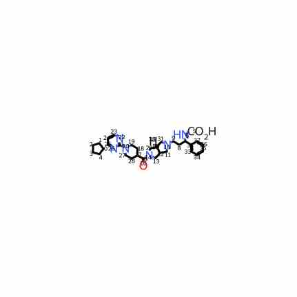 C1CCCC1.O=C(O)NC(CCN1CC2CN(C(=O)C3CCN(c4ncccn4)CC3)C[C@@H]2C1)c1ccccc1